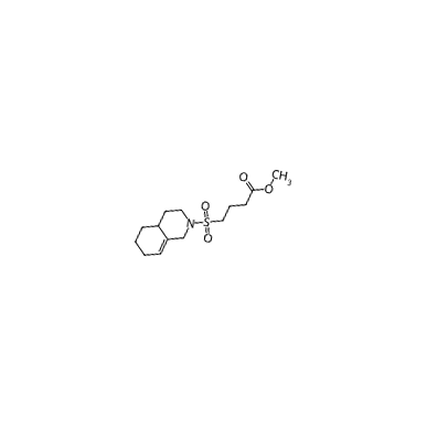 COC(=O)CCCS(=O)(=O)N1CCC2CCCC=C2C1